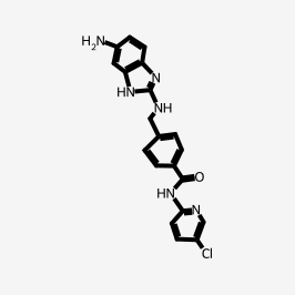 Nc1ccc2nc(NCc3ccc(C(=O)Nc4ccc(Cl)cn4)cc3)[nH]c2c1